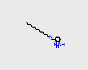 CCCCCCCCCCCCN=Cc1cccc2[nH]nnc12